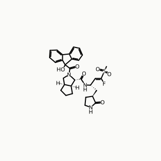 CS(=O)(=O)/C(F)=C/[C@H](C[C@@H]1CCNC1=O)NC(=O)[C@@H]1[C@H]2CCC[C@H]2CN1C(=O)C1(O)c2ccccc2-c2ccccc21